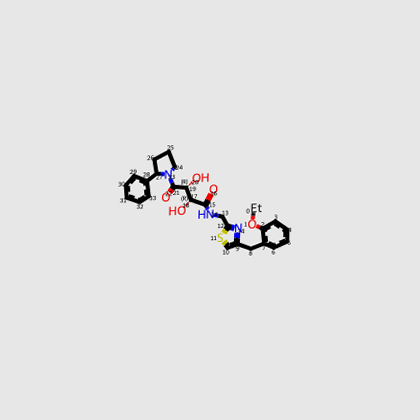 CCOc1ccccc1Cc1csc(CNC(=O)[C@H](O)[C@@H](O)C(=O)N2CCCC2c2ccccc2)n1